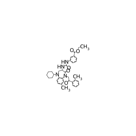 CCOC(=O)c1cccc(NC(=O)NC2CN(C3CCCCC3)c3ccc(C)cc3N(CC(=O)c3ccccc3C)C2=O)c1